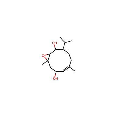 CC1=CC(O)CC2(C)OC2C(O)C(C(C)C)CC1